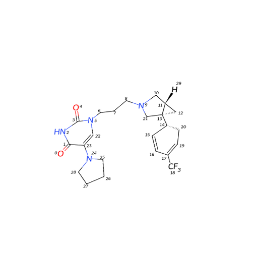 O=c1[nH]c(=O)n(CCCN2C[C@@H]3C[C@]3([C@H]3C=CC(C(F)(F)F)=CC3)C2)cc1N1CCCC1